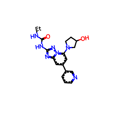 CCNC(=O)Nc1nc2cc(-c3cccnc3)cc(N3CCC(O)C3)n2n1